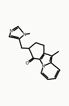 Cc1c2c(n3ccccc13)C(=O)C(Cc1cncn1C)CC2